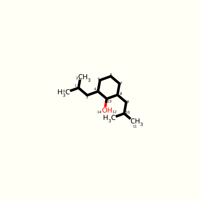 CC(C)CC1CCCC(CC(C)C)C1O